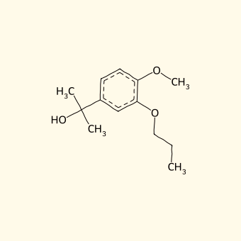 CCCOc1cc(C(C)(C)O)ccc1OC